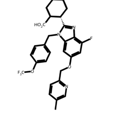 Cc1ccc(COc2cc(F)c3nc([C@H]4CCCCC4C(=O)O)n(Cc4ccc(OC(F)(F)F)cc4)c3c2)nc1